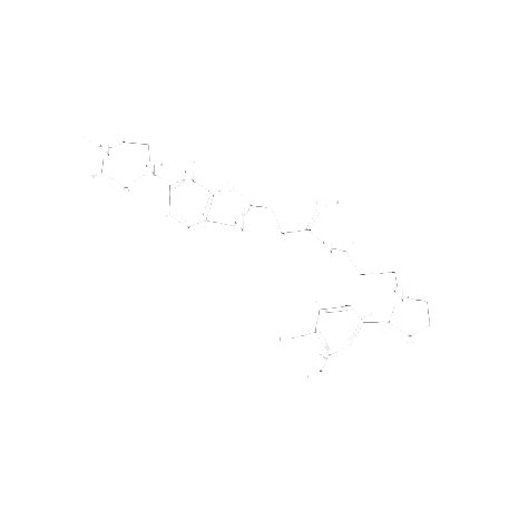 CN1CCN(c2ccc3nc(CCC(=O)NCCCN4CCCC4c4ccc(Cl)c(Cl)c4)sc3n2)CC1